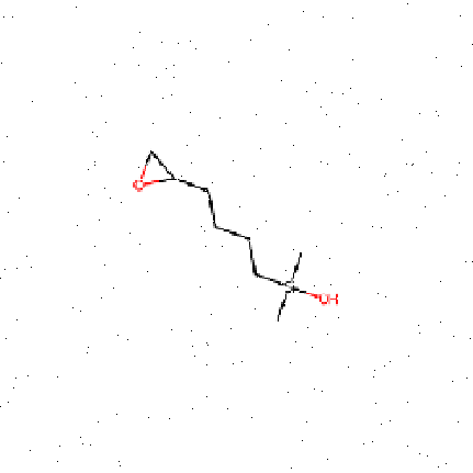 C[Si](C)(O)CCCCC1CO1